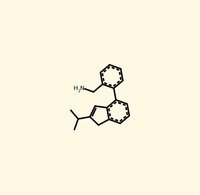 CC(C)C1=Cc2c(cccc2-c2ccccc2CN)C1